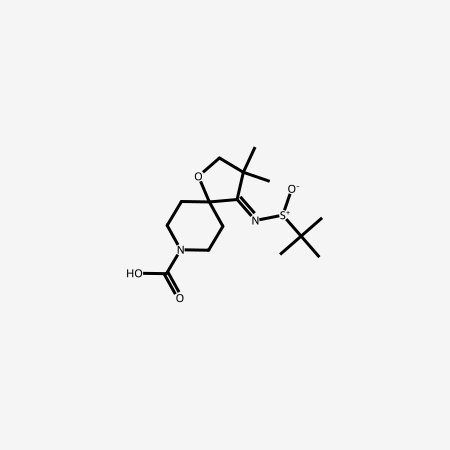 CC1(C)COC2(CCN(C(=O)O)CC2)C1=N[S+]([O-])C(C)(C)C